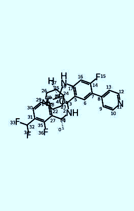 C[C@@H](NC(=O)c1cc(-c2ccncc2)c(F)cc1N[C@@H]1CN2CCC1CC2)c1cccc(C(F)F)c1F